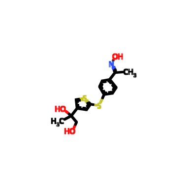 CC(=NO)c1ccc(Sc2cc(C(C)(O)CO)cs2)cc1